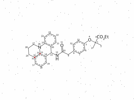 CCOC(=O)C(C)(C)Oc1ccc(CC(=O)NC(c2ccccc2)c2ccccc2N2CCCCC2)cc1